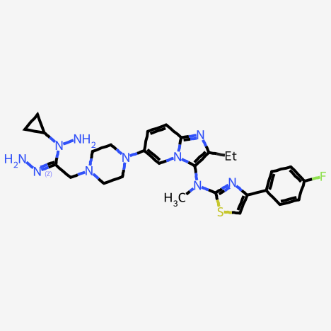 CCc1nc2ccc(N3CCN(C/C(=N/N)N(N)C4CC4)CC3)cn2c1N(C)c1nc(-c2ccc(F)cc2)cs1